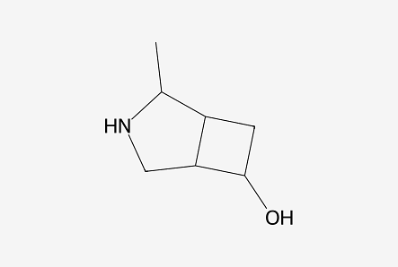 CC1NCC2C(O)CC12